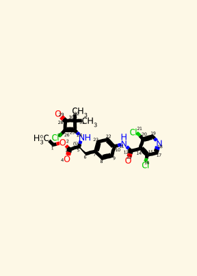 CCOC(=O)[C@H](Cc1ccc(NC(=O)c2c(Cl)cncc2Cl)cc1)NC1=C(Cl)C(=O)C1(C)C